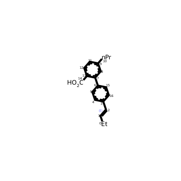 CC/C=C/c1ccc(-c2cc(CCC)ccc2C(=O)O)cc1